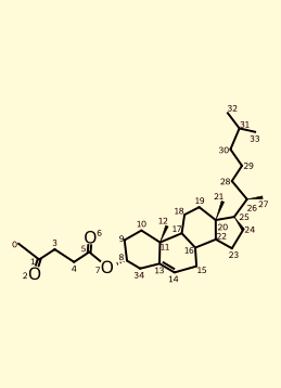 CC(=O)CCC(=O)O[C@@H]1CC[C@@]2(C)C(=CCC3C2CC[C@@]2(C)C3CC[C@@H]2[C@H](C)CCCC(C)C)C1